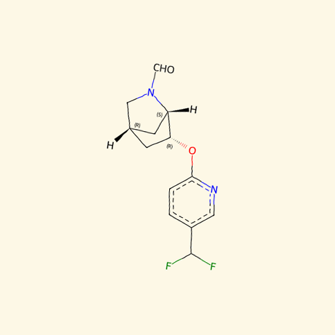 O=CN1C[C@H]2C[C@@H](Oc3ccc(C(F)F)cn3)[C@@H]1C2